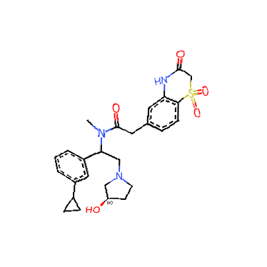 CN(C(=O)Cc1ccc2c(c1)NC(=O)CS2(=O)=O)C(CN1CC[C@@H](O)C1)c1cccc(C2CC2)c1